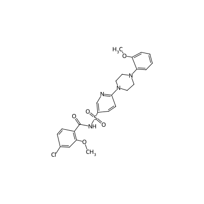 COc1cc(Cl)ccc1C(=O)NS(=O)(=O)c1ccc(N2CCN(c3ccccc3OC)CC2)nc1